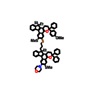 CCC1(CC)c2ccccc2-c2c1c1c(c3cc(SCCCC4(CC)c5ccccc5-c5c4c4c(c6cc(SC)c(N7CCOCC7)cc56)OC(c5ccccc5)(c5ccccc5)C=C4)c(SC)cc23)OC(c2ccccc2)(c2ccc(OC)cc2)C=C1